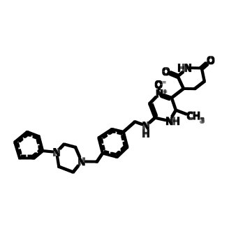 CC1NC(NCc2ccc(CN3CCN(c4ccccc4)CC3)cc2)=C[N+]([O-])=C1C1CCC(=O)NC1=O